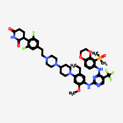 CCc1cc(Nc2ncc(C(F)(F)F)c(Nc3ccc4c(c3P(C)(C)=O)OCCO4)n2)c(OC)cc1N1CCC(N2CCN(CCc3cc(F)c(C4CCC(=O)NC4=O)c(F)c3)CC2)CC1